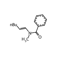 CCCC/C=C/N(C)C(=O)c1ccccc1